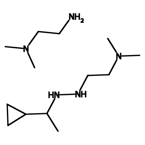 CC(NNCCN(C)C)C1CC1.CN(C)CCN